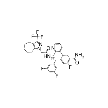 NC(=O)c1cc(-c2cccnc2[C@H](Cc2cc(F)cc(F)c2)NC(=O)Cn2nc(C(F)(F)F)c3c2CCCCC3)ccc1F